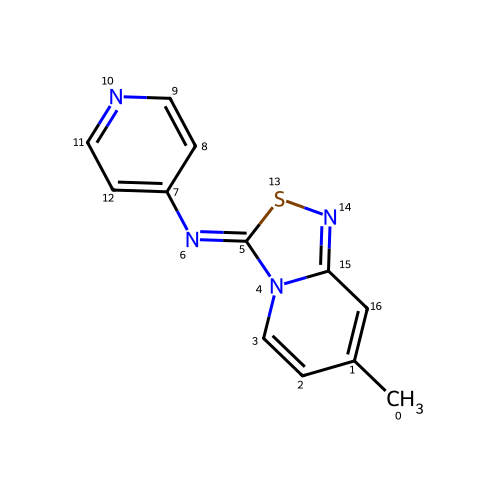 Cc1ccn2/c(=N/c3ccncc3)snc2c1